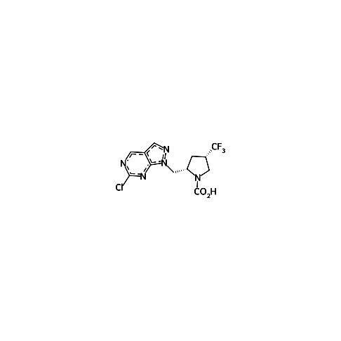 O=C(O)N1C[C@@H](C(F)(F)F)C[C@H]1Cn1ncc2cnc(Cl)nc21